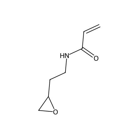 C=CC(=O)NCCC1CO1